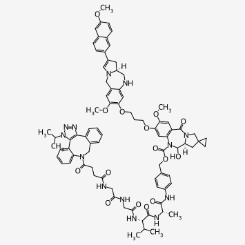 COc1ccc2cc(C3=CN4Cc5cc(OC)c(OCCCOc6cc7c(cc6OC)C(=O)N6CC8(CC8)C[C@H]6C(O)N7C(=O)OCc6ccc(NC(=O)[C@H](C)NC(=O)[C@@H](NC(=O)CNC(=O)CNC(=O)CCC(=O)N7Cc8ccccc8-c8nnn(C(C)C)c8-c8ccccc87)C(C)C)cc6)cc5NC[C@@H]4C3)ccc2c1